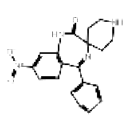 O=C1Nc2cc([N+](=O)[O-])ccc2C(c2ccccc2)=NC12CCNCC2